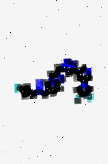 F[C@@H]1CN(c2cncc(-c3cn(Cc4cn5cc(CNCC67CC(F)(C6)C7)ccc5n4)nn3)c2)C[C@@H]1F